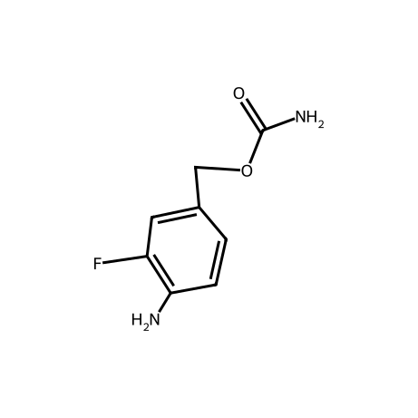 NC(=O)OCc1ccc(N)c(F)c1